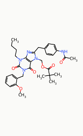 CCCCn1c(=O)n(Cc2ccccc2OC)c(=O)c2c1nc(Cc1ccc(NC(C)=O)cc1)n2COC(=O)C(C)(C)C